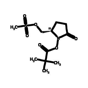 CC(C)(C)C(=O)ON1C(=O)CC[C@H]1COS(C)(=O)=O